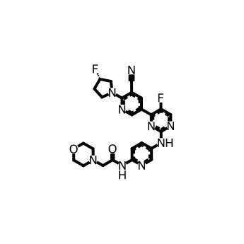 N#Cc1cc(-c2nc(Nc3ccc(NC(=O)CN4CCOCC4)nc3)ncc2F)cnc1N1CC[C@H](F)C1